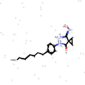 CCCCCCCCCCCCCCCCc1ccc(NC(=O)C2(/C(N)=N/O)CC2)cc1